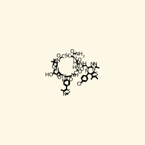 Cc1ncsc1-c1ccc([C@H]2NC(=O)[C@@H]3C[C@@H](O)CN3C(=O)C(C(C)(C)C)NC(=O)CSC[C@H](C(N)=O)NC(=O)[C@@H](NC(=O)C[C@@H]3N=C(c4ccc(Cl)cc4)c4c(sc(C)c4C)-n4c(C)nnc43)NC(=O)CNC2=O)cc1